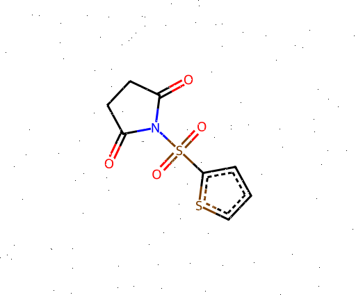 O=C1CCC(=O)N1S(=O)(=O)c1cccs1